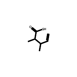 C=CC(C)C(C)C(=O)S